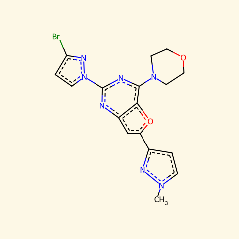 Cn1ccc(-c2cc3nc(-n4ccc(Br)n4)nc(N4CCOCC4)c3o2)n1